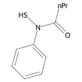 CCCC(=O)N(S)c1ccccc1